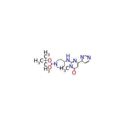 Cn1c(NC2CCCN(C(=O)OC(C)(C)C)CC2)nc(-c2ccncn2)cc1=O